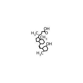 CC1CCC(O)CC1/C=C\C1CCCC2(C)C1CCC2[C@H](C)CCC(=O)O